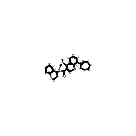 CN(C)c1c(C(=O)NC2CCOc3ccccc32)cnc2c(C3=CCCCCC3)cccc12